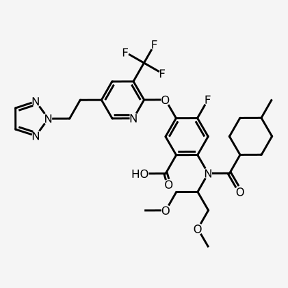 COCC(COC)N(C(=O)C1CCC(C)CC1)c1cc(F)c(Oc2ncc(CCn3nccn3)cc2C(F)(F)F)cc1C(=O)O